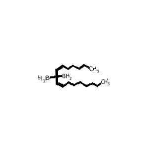 BC(B)(/C=C\CCCCC)/C=C\CCCCCCC